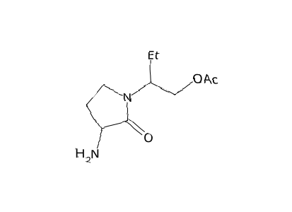 CCC(COC(C)=O)N1CCC(N)C1=O